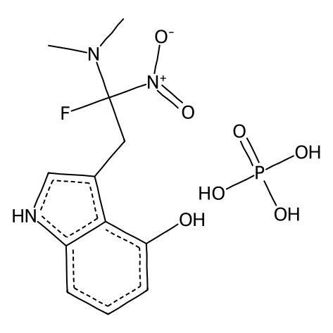 CN(C)C(F)(Cc1c[nH]c2cccc(O)c12)[N+](=O)[O-].O=P(O)(O)O